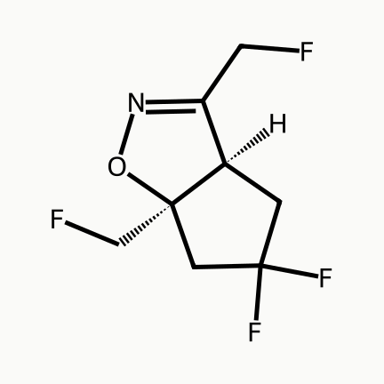 FCC1=NO[C@]2(CF)CC(F)(F)C[C@H]12